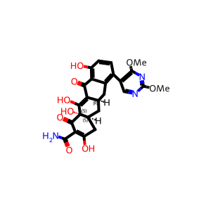 COc1ncc(-c2ccc(O)c3c2C[C@H]2C[C@H]4CC(O)=C(C(N)=O)C(=O)[C@@]4(O)C(O)=C2C3=O)c(OC)n1